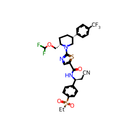 CCS(=O)(=O)c1ccc([C@H](CC#N)NC(=O)c2cnc(N3C[C@@H](c4ccc(C(F)(F)F)cc4)CC[C@H]3COC(F)F)s2)cc1